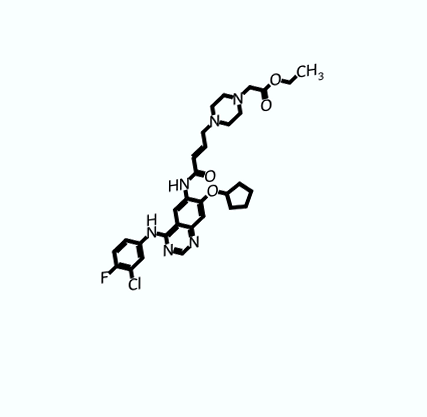 CCOC(=O)CN1CCN(C/C=C/C(=O)Nc2cc3c(Nc4ccc(F)c(Cl)c4)ncnc3cc2OC2CCCC2)CC1